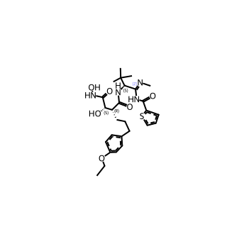 CCOc1ccc(CCC[C@@H](C(=O)N[C@H](/C(=N/C)NC(=O)c2cccs2)C(C)(C)C)[C@H](O)C(=O)NO)cc1